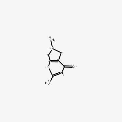 Cc1nc(=O)c2c(s1)CN(C)C2